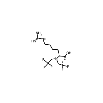 N=C(N)NCCCC[C@@H](C(=O)O)N(CC(F)(F)F)CC(F)(F)F